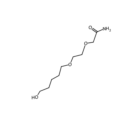 NC(=O)COCCOCCCCCO